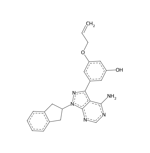 C=CCOc1cc(O)cc(-c2nn(C3Cc4ccccc4C3)c3ncnc(N)c23)c1